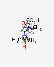 C[C@H]1CN(c2c(F)cc3c(=O)c(C(=O)O)cn4c3c2CC[C@@H]4C)C[C@H](C)C1O